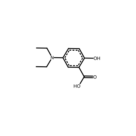 CCN(CC)c1ccc(O)c(C(=O)O)c1